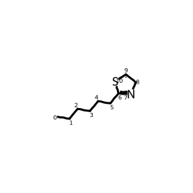 CCCCCCC1=NC[CH]S1